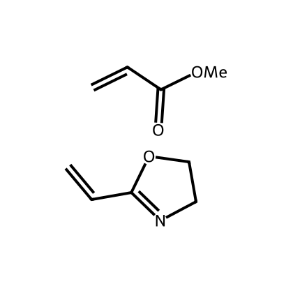 C=CC(=O)OC.C=CC1=NCCO1